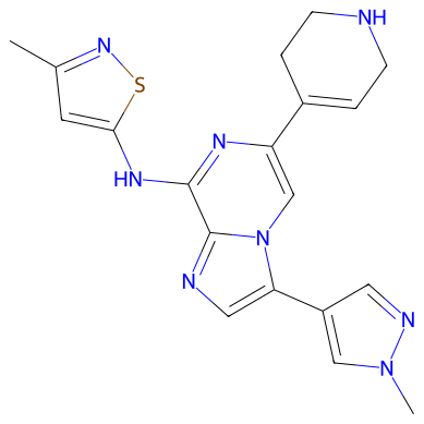 Cc1cc(Nc2nc(C3=CCNCC3)cn3c(-c4cnn(C)c4)cnc23)sn1